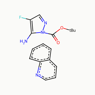 CC(C)(C)OC(=O)[N@@+]1(c2ccc3ncccc3c2)N=CC(F)=C1N